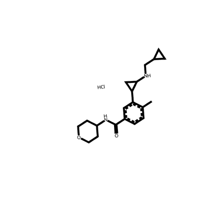 Cc1ccc(C(=O)NC2CCOCC2)cc1C1CC1NCC1CC1.Cl